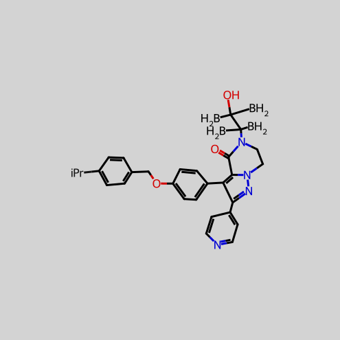 BC(B)(O)C(B)(B)N1CCn2nc(-c3ccncc3)c(-c3ccc(OCc4ccc(C(C)C)cc4)cc3)c2C1=O